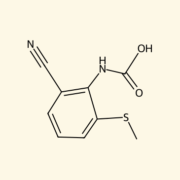 CSc1cccc(C#N)c1NC(=O)O